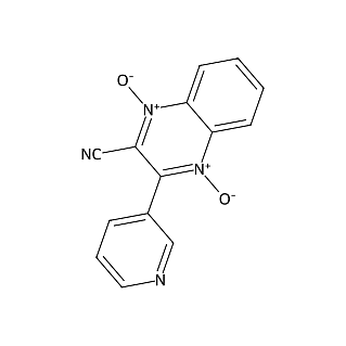 N#Cc1c(-c2cccnc2)[n+]([O-])c2ccccc2[n+]1[O-]